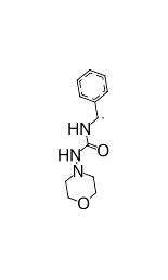 O=C(N[CH]c1ccccc1)NN1CCOCC1